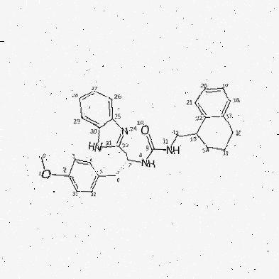 COc1ccc(C[C@@H](NC(=O)NCC2CCCc3ccccc32)c2nc3ccccc3[nH]2)cc1